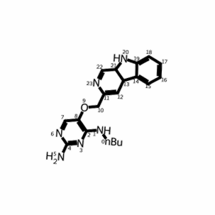 CCCCNc1nc(N)ncc1OCC1=CC2c3ccccc3NC2C=N1